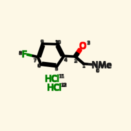 CNCC(=O)c1ccc(F)cc1.Cl.Cl